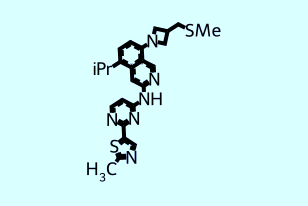 CSCC1CN(c2ccc(C(C)C)c3cc(Nc4ccnc(-c5cnc(C)s5)n4)ncc23)C1